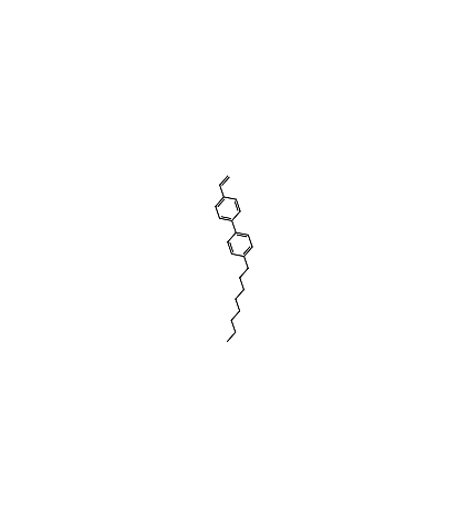 C=Cc1ccc(-c2ccc(CCCCCCCC)cc2)cc1